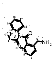 CCc1nc2cccc(CN)c2c(=O)n1-c1ccccc1